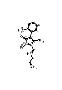 C=CC[SH]=Cn1c(N)c(-c2ccccc2C)c(=O)n1C(C)C